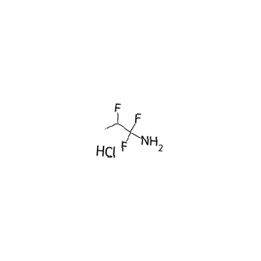 CC(F)C(N)(F)F.Cl